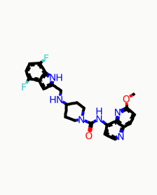 COc1ccc2nccc(NC(=O)N3CCC(NCc4cc5c(F)ccc(F)c5[nH]4)CC3)c2n1